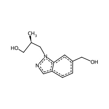 C[C@H](CO)Cn1ncc2ccc(CO)cc21